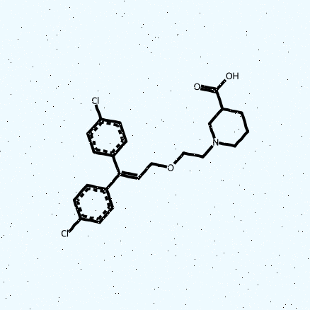 O=C(O)C1CCCN(CCOCC=C(c2ccc(Cl)cc2)c2ccc(Cl)cc2)C1